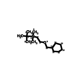 CC(C)(C)[Si](C)(C)CCOCC1CCCCC1